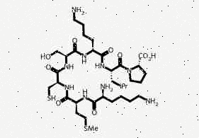 CSCC[C@H](NC(=O)[C@@H](N)CCCCN)C(=O)N[C@@H](CS)C(=O)N[C@@H](CO)C(=O)N[C@@H](CCCCN)C(=O)N[C@@H](CC(C)C)C(=O)N1CCC[C@H]1C(=O)O